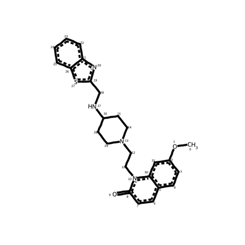 COc1ccc2ccc(=O)n(CCN3CCC(NCc4nc5ccccc5s4)CC3)c2c1